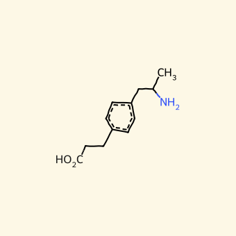 CC(N)Cc1ccc(CCC(=O)O)cc1